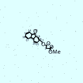 COC(=O)CC(=O)OCC1=CC2C(=O)C3C=CC=CC3C2C=C1